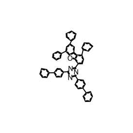 c1ccc(-c2ccc(-c3nc(-c4ccc(-c5ccccc5)cc4)nc(-c4ccc(-c5ccccc5)c5c4oc4c(-c6ccccc6)cc(-c6ccccc6)cc45)n3)cc2)cc1